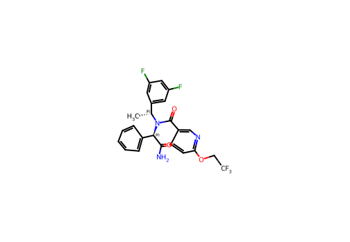 C[C@H](c1cc(F)cc(F)c1)N(C(=O)c1ccc(OCC(F)(F)F)nc1)[C@@H](C(N)=O)c1ccccc1